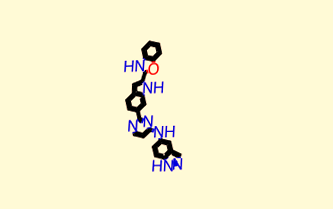 c1ccc2c(c1)NC(c1cc3ccc(-c4nccc(Nc5ccc6[nH]ncc6c5)n4)cc3[nH]1)O2